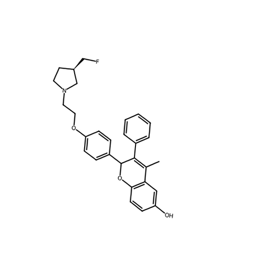 CC1=C(c2ccccc2)C(c2ccc(OCCN3CC[C@@H](CF)C3)cc2)Oc2ccc(O)cc21